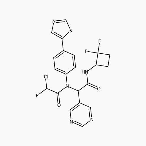 O=C(NC1CCC1(F)F)C(c1cncnc1)N(C(=O)C(F)Cl)c1ccc(-c2cncs2)cc1